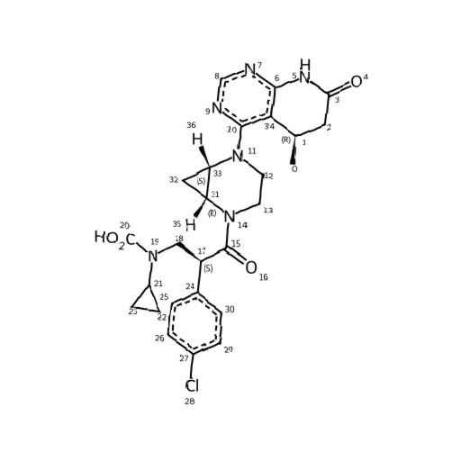 C[C@@H]1CC(=O)Nc2ncnc(N3CCN(C(=O)[C@H](CN(C(=O)O)C4CC4)c4ccc(Cl)cc4)[C@@H]4C[C@@H]43)c21